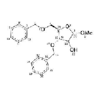 CO[C@H]1O[C@H](COCc2ccccc2)[C@@H](OCc2ccccc2)C1O